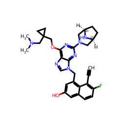 C#Cc1c(F)ccc2cc(O)cc(Cn3cnc4c(OCC5(CN(C)C)CC5)nc(N5C[C@H]6CC[C@@H](C5)N6)nc43)c12